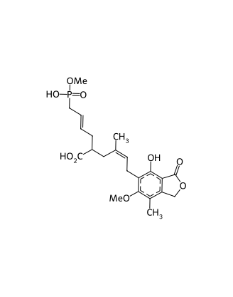 COc1c(C)c2c(c(O)c1CC=C(C)CC(CC=CCP(=O)(O)OC)C(=O)O)C(=O)OC2